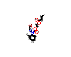 CC=CC(=O)OCCOC(=O)N(N=C=O)c1ccccc1C